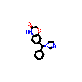 O=C1COc2cc(C(c3ccccc3)n3ccnc3)ccc2N1